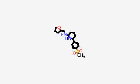 CS(=O)(=O)c1ccc(C2CCCC(NCC3CCCO3)N2)cc1